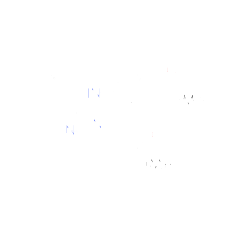 COC(=O)c1ccc(Nc2c(-c3ccccc3)nc3ccc(C(=O)OC)cn23)cc1